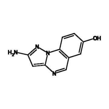 Nc1cc2ncc3cc(O)ccc3n2n1